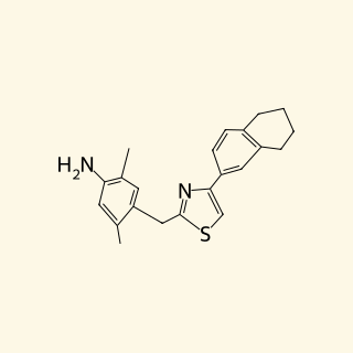 Cc1cc(Cc2nc(-c3ccc4c(c3)CCCC4)cs2)c(C)cc1N